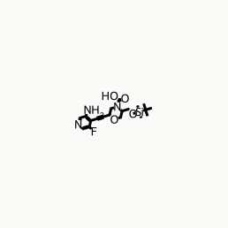 CC(C)(C)[Si](C)(C)OCC1COC(C#Cc2c(N)cncc2F)CN1C(=O)O